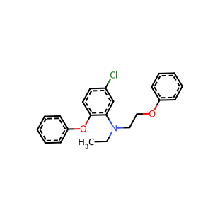 CCN(CCOc1ccccc1)c1cc(Cl)ccc1Oc1ccccc1